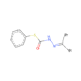 CC(C)C(=NNC(=O)Sc1ccccc1)C(C)C